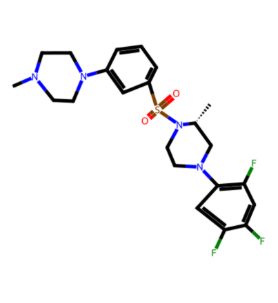 C[C@@H]1CN(c2cc(F)c(F)cc2F)CCN1S(=O)(=O)c1cccc(N2CCN(C)CC2)c1